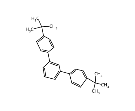 CC(C)(C)c1ccc(-c2c[c]cc(-c3ccc(C(C)(C)C)cc3)c2)cc1